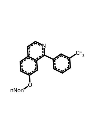 CCCCCCCCCOc1ccc2ccnc(-c3cccc(C(F)(F)F)c3)c2c1